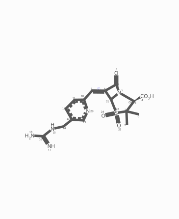 CC1(C)[C@H](C(=O)O)N2C(=O)/C(=C/c3ccc(CNC(=N)N)cn3)C2S1(=O)=O